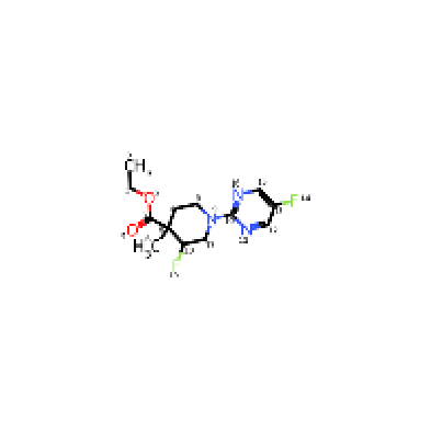 CCOC(=O)C1(C)CCN(c2ncc(F)cn2)CC1F